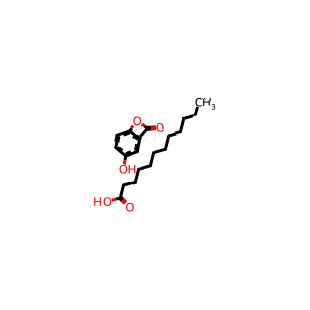 CCCCCCCCCCCC(=O)O.O=C1Oc2ccc(O)cc21